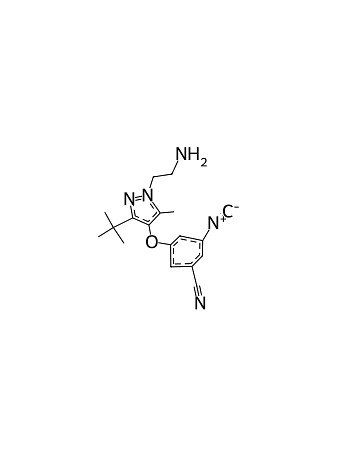 [C-]#[N+]c1cc(C#N)cc(Oc2c(C(C)(C)C)nn(CCN)c2C)c1